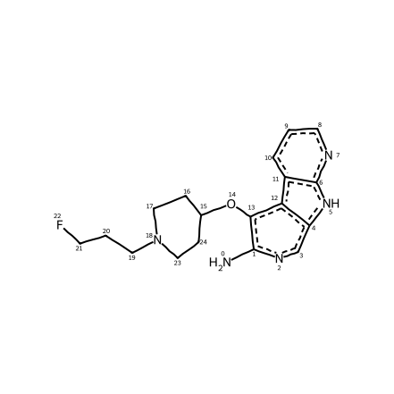 Nc1ncc2[nH]c3ncccc3c2c1OC1CCN(CCCF)CC1